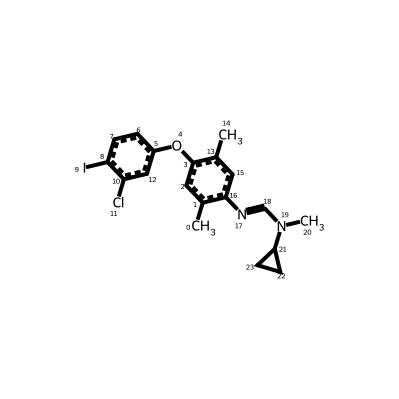 Cc1cc(Oc2ccc(I)c(Cl)c2)c(C)cc1/N=C/N(C)C1CC1